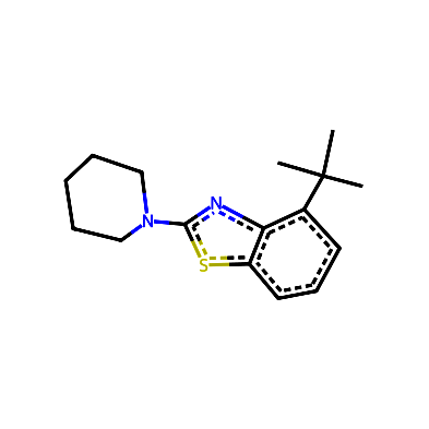 CC(C)(C)c1cccc2sc(N3CCCCC3)nc12